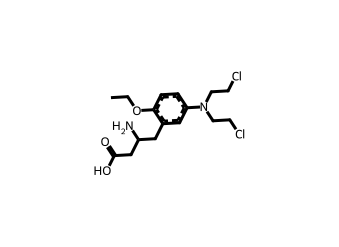 CCOc1ccc(N(CCCl)CCCl)cc1CC(N)CC(=O)O